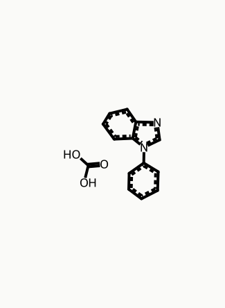 O=C(O)O.c1ccc(-n2cnc3ccccc32)cc1